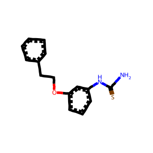 NC(=S)Nc1cccc(OCCc2ccccc2)c1